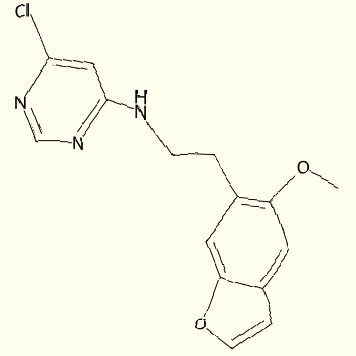 COc1cc2ccoc2cc1CCNc1cc(Cl)ncn1